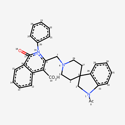 CC(=O)N1CC2(CCN(Cc3c(C(=O)O)c4ccccc4c(=O)n3-c3ccccc3)CC2)c2ccccc21